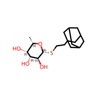 C[C@@H]1O[C@H](SCCC23CC4CC(CC(C4)C2)C3)[C@@H](O)[C@H](O)[C@@H]1O